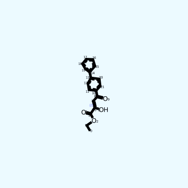 CCOC(=O)/C(O)=C/C(=O)c1ccc(-c2ccccc2)cc1